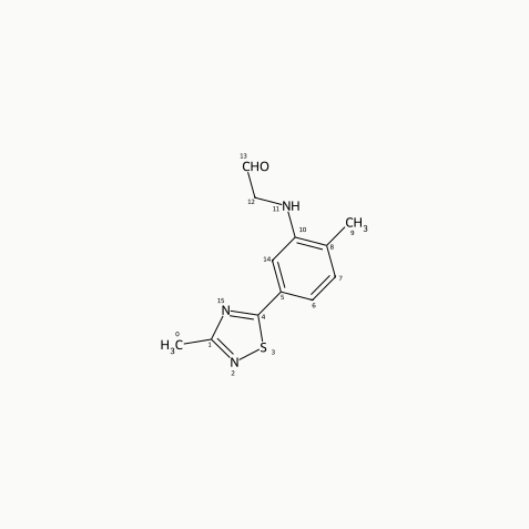 Cc1nsc(-c2ccc(C)c(NCC=O)c2)n1